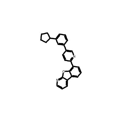 c1cc(-c2ccc(-c3cccc4c3oc3ncccc34)nc2)cc(C2CCCC2)c1